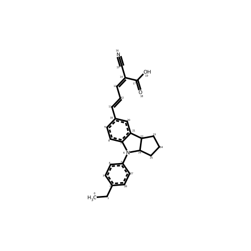 CCc1ccc(N2c3ccc(C=CC=C(C#N)C(=O)O)cc3C3CCCC32)cc1